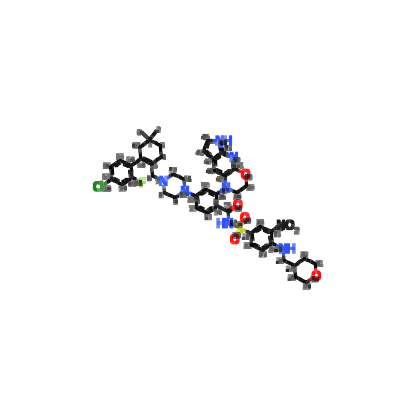 CC1(C)CCC(CN2CCN(c3ccc(C(=O)NS(=O)(=O)c4ccc(NCC5CCOCC5)c([N+](=O)[O-])c4)c(N4CCOc5nc6[nH]ccc6cc54)c3)CC2)=C(c2ccc(Cl)cc2F)C1